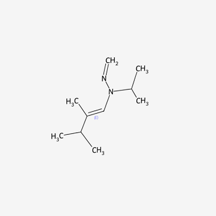 C=NN(/C=C(\C)C(C)C)C(C)C